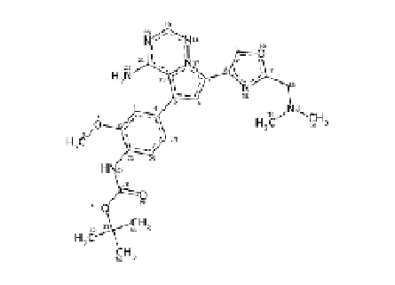 COc1cc(-c2cc(-c3coc(CN(C)C)n3)n3ncnc(N)c23)ccc1NC(=O)OC(C)(C)C